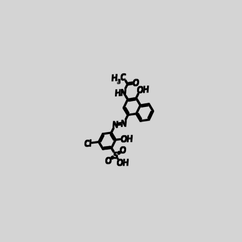 CC(=O)Nc1cc(N=Nc2cc(Cl)cc(S(=O)(=O)O)c2O)c2ccccc2c1O